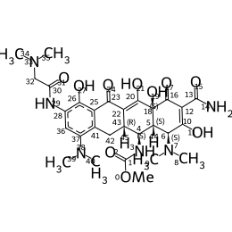 COC(=O)N[C@@H]1[C@H]2[C@H](N(C)C)C(O)=C(C(N)=O)C(=O)[C@@]2(O)C(O)=C2C(=O)c3c(O)c(NC(=O)CN(C)C)cc(N(C)C)c3C[C@H]21